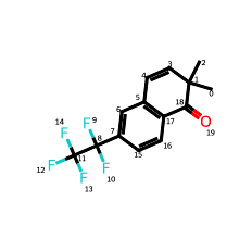 CC1(C)C=Cc2cc(C(F)(F)C(F)(F)F)ccc2C1=O